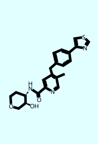 Cc1cnc(C(=O)N[C@H]2CCOC[C@@H]2O)cc1Cc1ccc(-c2cscn2)cc1